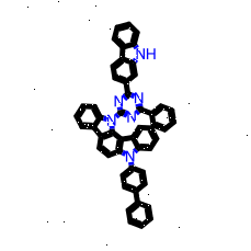 c1ccc(-c2ccc(-n3c4ccccc4c4c3ccc3c5ccccc5n(-c5nc(-c6ccccc6)nc(-c6ccc7c(c6)[nH]c6ccccc67)n5)c34)cc2)cc1